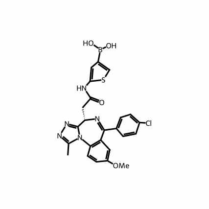 COc1ccc2c(c1)C(c1ccc(Cl)cc1)=N[C@@H](CC(=O)Nc1cc(B(O)O)cs1)c1nnc(C)n1-2